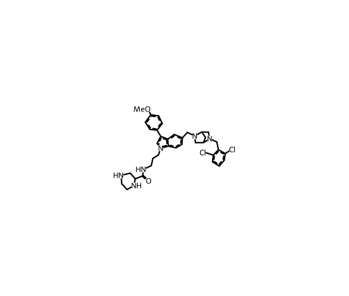 COc1ccc(-c2cn(CCCNC(=O)C3CNCCN3)c3ccc(CN4CC5CC4CN5Cc4c(Cl)cccc4Cl)cc23)cc1